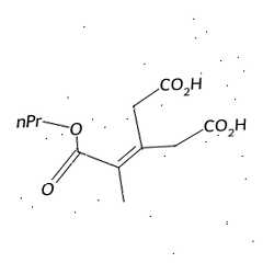 CCCOC(=O)C(C)=C(CC(=O)O)CC(=O)O